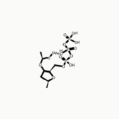 CSS[C@H](C)OC1C[C@H](C)O[C@@H]1COP(=O)(O)OP(=O)(O)OP(=O)(O)O